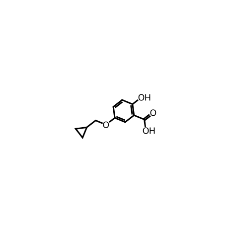 O=C(O)c1cc(OCC2CC2)ccc1O